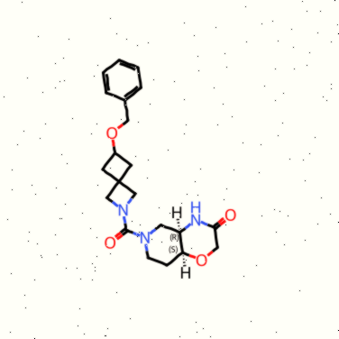 O=C1CO[C@H]2CCN(C(=O)N3CC4(CC(OCc5ccccc5)C4)C3)C[C@H]2N1